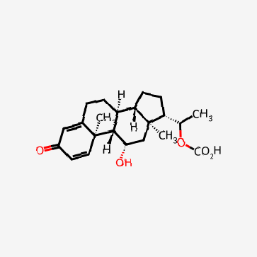 CC(OC(=O)O)[C@H]1CC[C@H]2[C@@H]3CCC4=CC(=O)C=C[C@]4(C)[C@H]3[C@@H](O)C[C@]12C